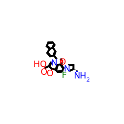 COc1c(N2CC[C@H](CN)C2)c(F)cc2c(=O)c(C(=O)O)cn(Cc3ccc4ccccc4c3)c12